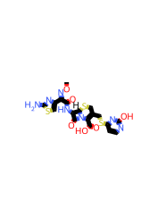 CO/N=C(\C(=O)NC1C(=O)N2C(C(=O)O)=C(CSc3ccnc(O)n3)CS[C@H]12)c1csc(N)n1